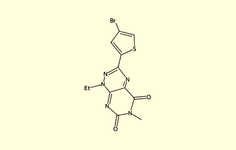 CCn1nc(-c2cc(Br)cs2)nc2c(=O)n(C)c(=O)nc1-2